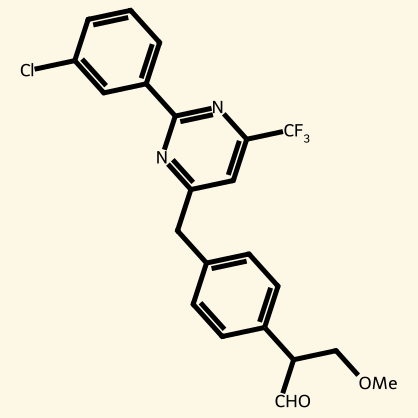 COCC(C=O)c1ccc(Cc2cc(C(F)(F)F)nc(-c3cccc(Cl)c3)n2)cc1